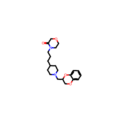 O=C1COCCN1CCCC1CCN(CC2COc3ccccc3O2)CC1